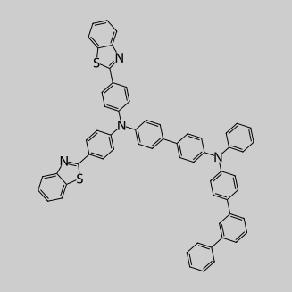 c1ccc(-c2cccc(-c3ccc(N(c4ccccc4)c4ccc(-c5ccc(N(c6ccc(-c7nc8ccccc8s7)cc6)c6ccc(-c7nc8ccccc8s7)cc6)cc5)cc4)cc3)c2)cc1